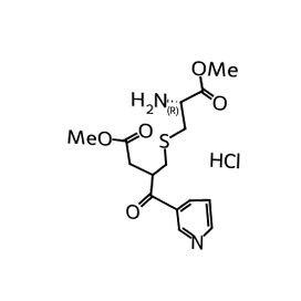 COC(=O)CC(CSC[C@H](N)C(=O)OC)C(=O)c1cccnc1.Cl